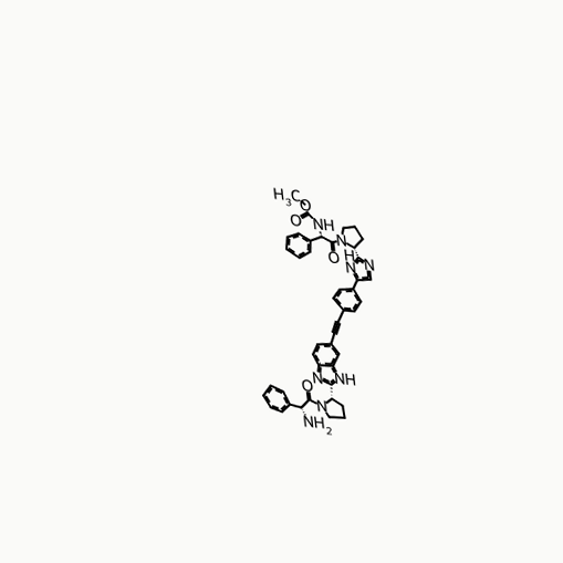 COC(=O)N[C@H](C(=O)N1CCC[C@@H]1c1ncc(-c2ccc(C#Cc3ccc4nc([C@@H]5CCCN5C(=O)[C@H](N)c5ccccc5)[nH]c4c3)cc2)[nH]1)c1ccccc1